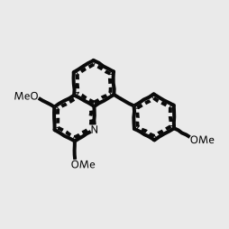 COc1ccc(-c2cccc3c(OC)cc(OC)nc23)cc1